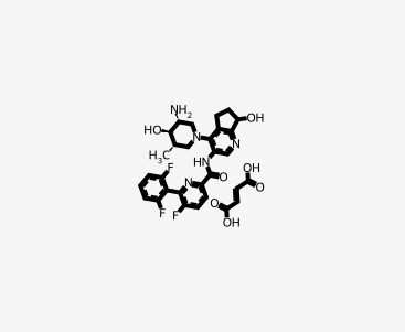 C[C@H]1CN(c2c(NC(=O)c3ccc(F)c(-c4c(F)cccc4F)n3)cnc3c2CCC3O)C[C@@H](N)[C@@H]1O.O=C(O)C=CC(=O)O